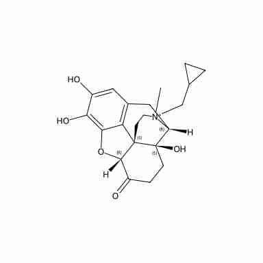 C[N+]1(CC2CC2)CC[C@]23c4c5cc(O)c(O)c4O[C@H]2C(=O)CC[C@@]3(O)[C@H]1C5